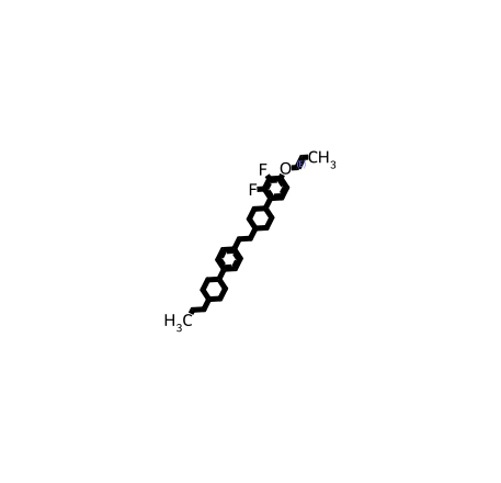 C/C=C/Oc1ccc(C2CCC(CCc3ccc(C4CCC(CCC)CC4)cc3)CC2)c(F)c1F